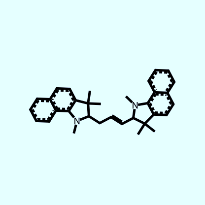 CN1c2c(ccc3ccccc23)C(C)(C)C1C=CCC1N(C)c2c(ccc3ccccc23)C1(C)C